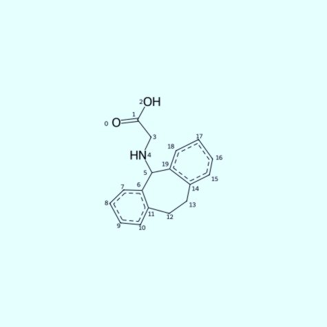 O=C(O)CNC1c2ccccc2CCc2ccccc21